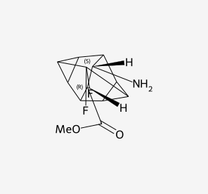 COC(=O)[C@@H]1C2C3C4C(C5C2C5C(F)(F)C34)[C@@H]1N